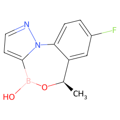 C[C@H]1OB(O)c2ccnn2-c2ccc(F)cc21